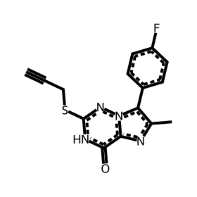 C#CCSc1nn2c(-c3ccc(F)cc3)c(C)nc2c(=O)[nH]1